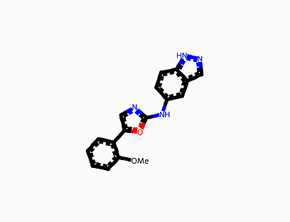 COc1ccccc1-c1cnc(Nc2ccc3[nH]ncc3c2)o1